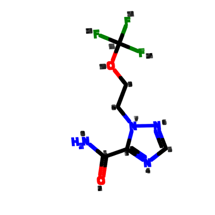 NC(=O)c1ncnn1CCOC(F)(F)F